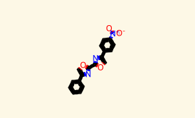 O=[N+]([O-])c1ccc(-c2coc(-c3nc(-c4ccccc4)co3)n2)cc1